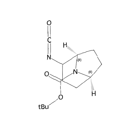 CC(C)(C)OC(=O)N1[C@@H]2CCC(N=C=O)[C@H]1CC2